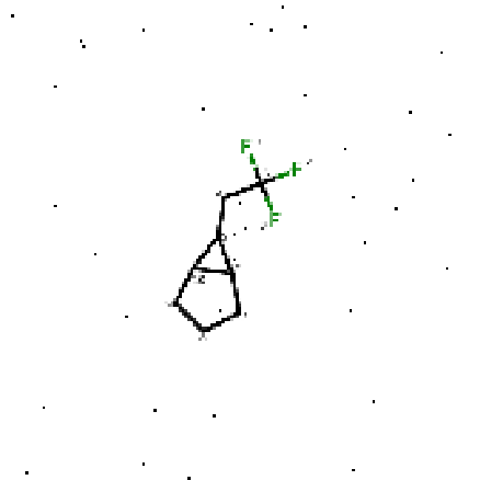 FC(F)(F)CC1C2CCCC21